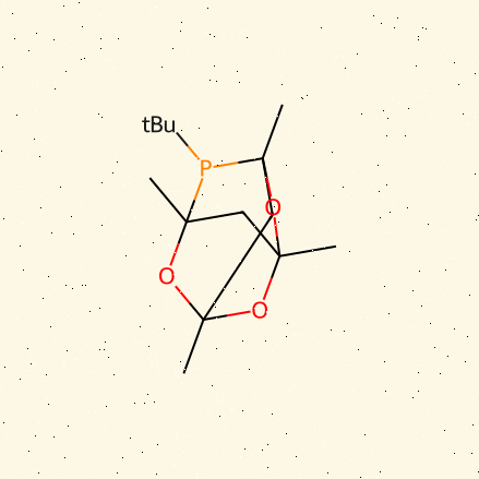 CC12CC3(C)OC(C)(CC(C)(O1)P3C(C)(C)C)O2